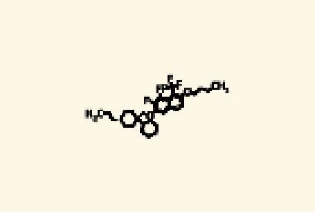 CCCCOc1ccc2cc(OC[C@]3(C4CCCCC4)CC[C@@H](CCC)CC3)c(F)c(F)c2c1C(F)(F)F